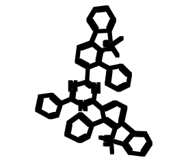 C[Si]1(C)c2ccccc2-c2ccc(-c3nc(-c4ccccc4)nc(-c4ccc5c(c4-c4ccccc4)[Si](C)(C)c4ccccc4-5)n3)c(-c3ccccc3)c21